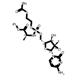 CC(C)OC(=O)[C@H](C)NP(=O)(OCCSC(=O)C(C)(C)C)OC[C@H]1O[C@@H](n2ccc(N)nc2=O)[C@@](F)(Cl)[C@@H]1O